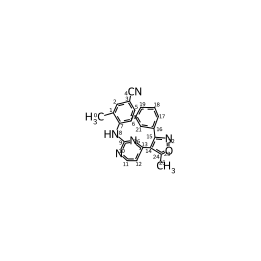 Cc1cc(C#N)ccc1Nc1nccc(-c2c(-c3ccccc3)noc2C)n1